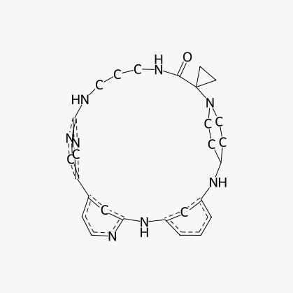 O=C1NCCCNc2ncc(cn2)-c2ccnc(c2)Nc2cccc(c2)NC2CCN(CC2)C12CC2